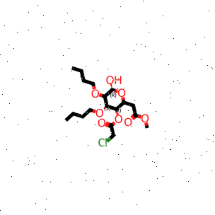 CCCCOC1[C@H](O)OC(CC(=O)OC)[C@@H](OC(=O)CCl)[C@@H]1OCCCC